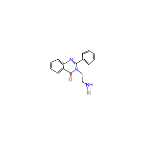 CCNCCn1c(-c2ccccc2)nc2ccccc2c1=O